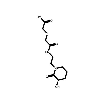 O=C(O)CSCC(=O)NCCN1CCC[C@@H](O)C1=O